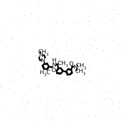 Cc1ccc(N2CCN(C)CC2)cc1C(=O)N[C@H](C)c1cccc(-c2cccc(C(=O)N(C)C)c2)c1